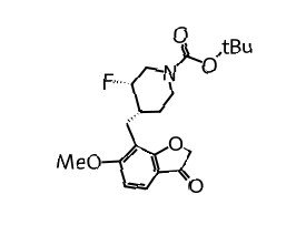 COc1ccc2c(c1C[C@H]1CCN(C(=O)OC(C)(C)C)C[C@H]1F)OCC2=O